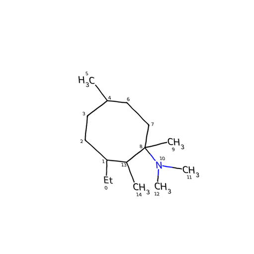 CCC1CCC(C)CCC(C)(N(C)C)C1C